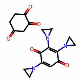 O=C1C=C(N2CC2)C(=O)C(N2CC2)=C1N1CC1.O=C1CCC(=O)C(=O)C1